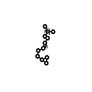 c1ccc(-c2nc(-c3ccccc3)nc(-c3cccc4c(-c5ccc6c(c5)oc5ccc(-c7cccc(-c8cccc(-c9ccc%10c%11ccccc%11c%11ccccc%11c%10c9)c8)c7)cc56)cccc34)n2)cc1